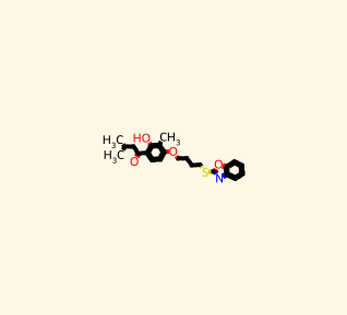 Cc1c(OCCCCSc2nc3ccccc3o2)ccc(C(=O)CC(C)C)c1O